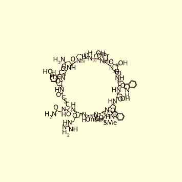 CCCC[C@H]1C(=O)N[C@@H](CCCNC(=N)N)C(=O)NC(C(=O)NCC(N)=O)CSCC(=O)N[C@@H](Cc2ccc(O)cc2)C(=O)N(C)[C@@H](C)C(=O)N[C@@H](CC(N)=O)C(=O)N2CCC[C@H]2C(=O)N[C@@H](CO)C(=O)N[C@@H](CC(C)C)C(=O)N2C[C@H](O)C[C@H]2C(=O)N[C@@H](Cc2c[nH]c3ccccc23)C(=O)N[C@@H](CO)C(=O)N[C@@H](Cc2c[nH]c3ccccc23)C(=O)N(C)[C@@H](CCSC)C(=O)N1C